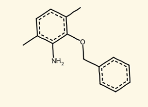 Cc1ccc(C)c(OCc2ccccc2)c1N